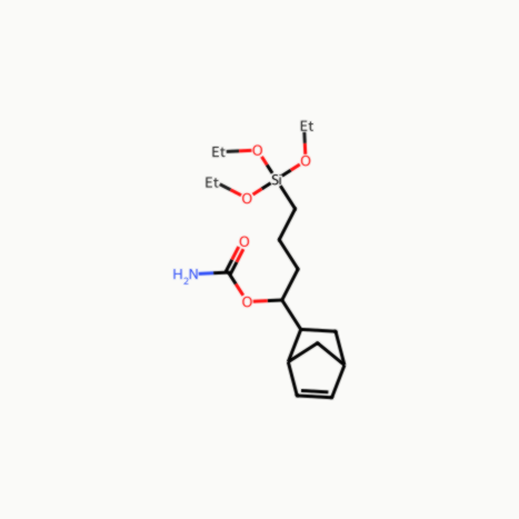 CCO[Si](CCCC(OC(N)=O)C1CC2C=CC1C2)(OCC)OCC